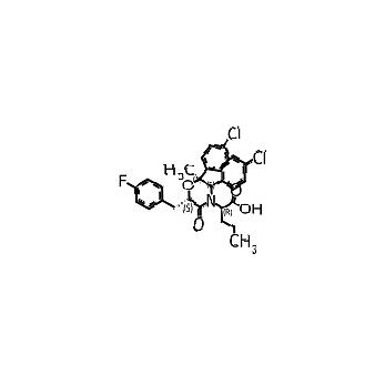 CCC[C@H](C(=O)O)N1C(=O)[C@H](Cc2ccc(F)cc2)O[C@@](C)(c2ccc(Cl)cc2)[C@H]1c1ccc(Cl)cc1